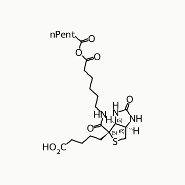 CCCCCC(=O)OC(=O)CCCCCNC(=O)[C@@]1(CCCCC(=O)O)SC[C@@H]2NC(=O)N[C@@H]21